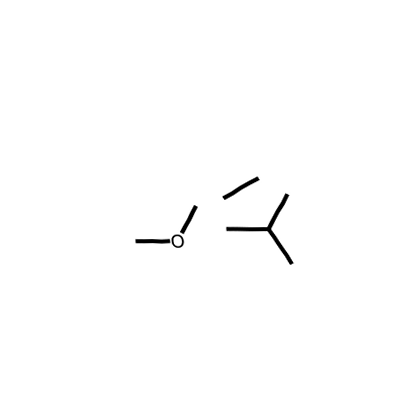 CC.CC(C)C.COC